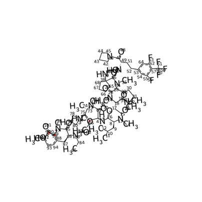 CC[C@H](C)[C@H](NC(=O)[C@H](CC(C)C)N(C)C(=O)C[C@@H](C(=O)N(C)C)N(C)C(=O)[C@H](C1CCCC1)N(C)C(=O)C1(NC(=O)[C@@H]2CCCN2C(=O)[C@@H](N)CCc2cc(F)c(C(F)(F)F)c(F)c2)CCCC1)C(=O)N(C)[C@@H](C)C(=O)N1CC[C@H]1C(=O)N(CC)[C@@H](Cc1ccc(C)cc1)C(=O)N(C)CC(=O)O